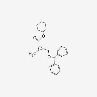 CC1C(COC(c2ccccc2)c2ccccc2)C1C(=O)OC1CCCCC1